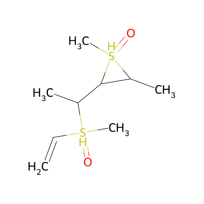 C=C[SH](C)(=O)C(C)C1C(C)[SH]1(C)=O